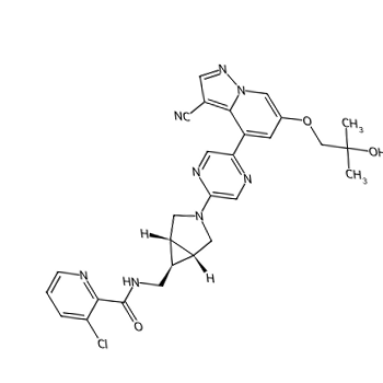 CC(C)(O)COc1cc(-c2cnc(N3C[C@@H]4[C@@H](CNC(=O)c5ncccc5Cl)[C@@H]4C3)cn2)c2c(C#N)cnn2c1